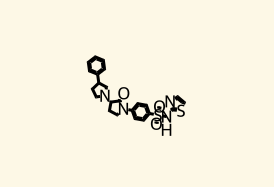 O=C1[C@@H](N2CCC(c3ccccc3)C2)CCN1c1ccc(S(=O)(=O)Nc2nccs2)cc1